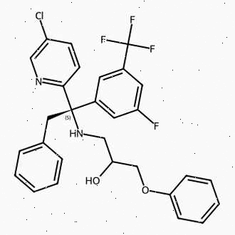 OC(CN[C@@](Cc1ccccc1)(c1cc(F)cc(C(F)(F)F)c1)c1ccc(Cl)cn1)COc1ccccc1